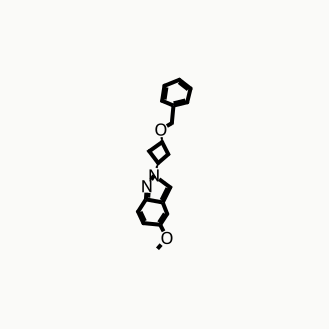 COc1ccc2nn([C@H]3C[C@@H](OCc4ccccc4)C3)cc2c1